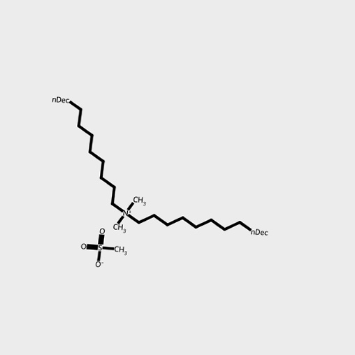 CCCCCCCCCCCCCCCCCC[N+](C)(C)CCCCCCCCCCCCCCCCCC.CS(=O)(=O)[O-]